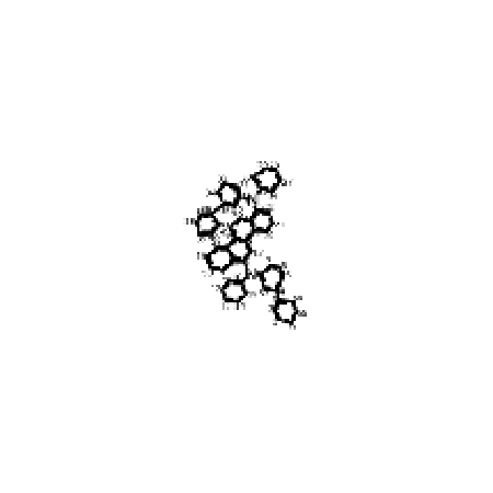 c1ccc(-c2cccc(N(c3ccccc3)c3cc4c5cccc(N(c6ccccc6)c6cccc(-c7ccccc7)c6)c5ccc4c4ccccc34)c2)cc1